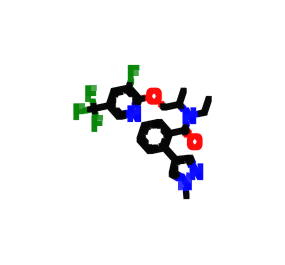 CCN(C(=O)c1ccccc1-c1cnn(C)c1)C(C)COc1ncc(C(F)(F)F)cc1F